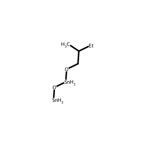 CCC(C)C[O][SnH2][O][SnH3]